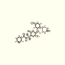 O=C(NS(=O)(=O)c1cc(F)c(OC[C@H]2CNCC[C@@H]2c2ccc(Cl)cc2)cc1F)c1cccnc1